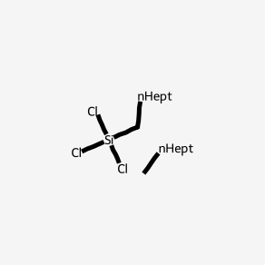 CCCCCCCC.CCCCCCCC[Si](Cl)(Cl)Cl